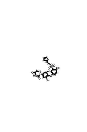 O=c1cnn(-c2cc(Cl)c(Oc3ccc(O)c(S(=O)(=O)NCc4cccs4)c3)c(Cl)c2)c(=O)[nH]1